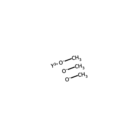 C[O-].C[O-].C[O-].[Y+3]